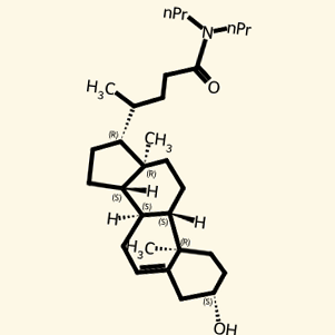 CCCN(CCC)C(=O)CCC(C)[C@H]1CC[C@H]2[C@@H]3CC=C4C[C@@H](O)CC[C@]4(C)[C@H]3CC[C@]12C